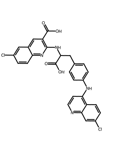 O=C(O)c1cc2cc(Cl)ccc2nc1NC(Cc1ccc(Nc2ccnc3cc(Cl)ccc23)cc1)C(=O)O